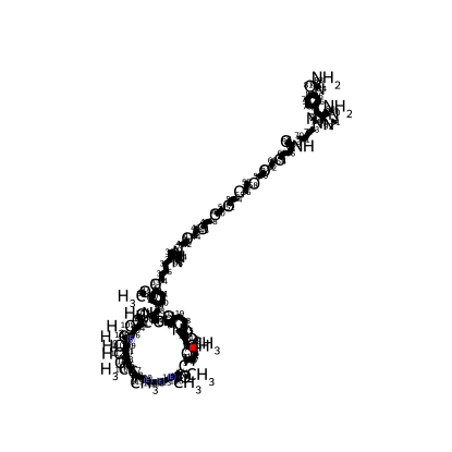 CO[C@H]1C[C@@H]2CC[C@@H](C)[C@@](O)(O2)C(=O)C(=O)N2CCCC[C@H]2C(=O)O[C@H]([C@H](N)C[C@@H]2CC[C@@H](OCCCCc3cn(CCOCCOCCOCCOCCOCCOCCOCCOCCC(=O)NCCCCn4nc(-c5ccc6oc(N)nc6c5)c5c(N)ncnc54)nn3)[C@H](OC)C2)C[C@@H](OC)[C@H](C)/C=C(\C)[C@@H](O)[C@@H](O)C(=O)[C@H](C)C[C@H](C)/C=C/C=C/C=C/1C